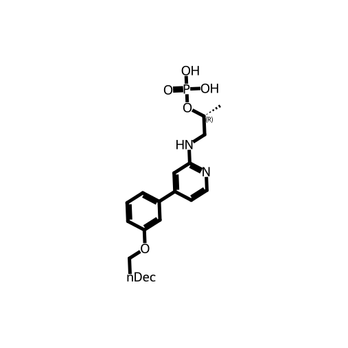 CCCCCCCCCCCOc1cccc(-c2ccnc(NC[C@@H](C)OP(=O)(O)O)c2)c1